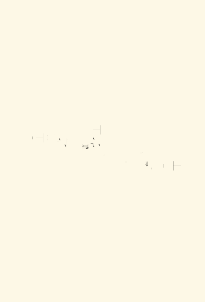 O=CN1CC[C@H](NCCCCS(=O)(=O)O)C1